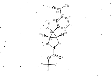 CC(C)(C)OC(=O)N1C[C@@H]2[C@H](C1)[C@@]2(C=O)c1cccc([N+](=O)[O-])c1